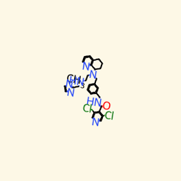 Cn1ccnc1CNCCN(Cc1cccc(CNC(=O)c2c(Cl)cncc2Cl)c1)C1CCCc2cccnc21